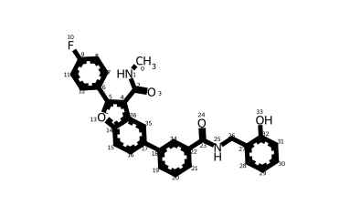 CNC(=O)c1c(-c2ccc(F)cc2)oc2ccc(-c3cccc(C(=O)NCc4ccccc4O)c3)cc12